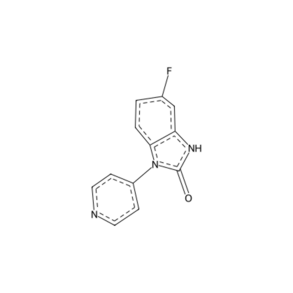 O=c1[nH]c2cc(F)ccc2n1-c1ccncc1